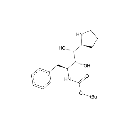 CC(C)(C)OC(=O)N[C@@H](Cc1ccccc1)[C@@H](O)[C@H](O)[C@@H]1CCCN1